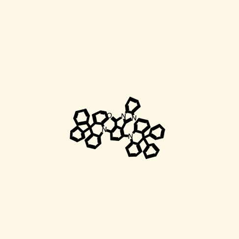 O=C1c2c(N3c4ccccc4C(c4ccccc4)(c4ccccc4)c4ccccc43)ccc(N3c4ccccc4C(c4ccccc4)(c4ccccc4)c4ccccc43)c2-c2nc3ccccc3n21